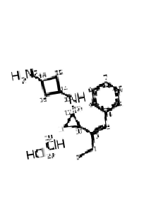 CCC(=Cc1ccccc1)C1C[C@@H]1NC1CC(N)C1.Cl.Cl